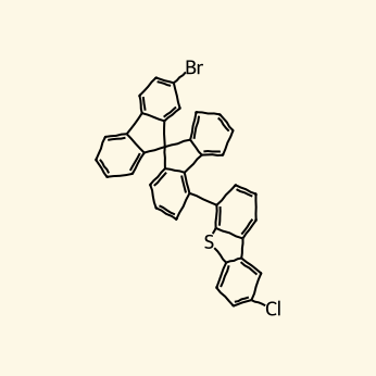 Clc1ccc2sc3c(-c4cccc5c4-c4ccccc4C54c5ccccc5-c5ccc(Br)cc54)cccc3c2c1